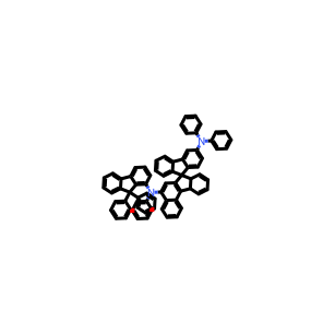 C1=CC2c3c(cc(N(c4ccccc4)c4cccc5c4C(c4ccccc4)(c4ccccc4)c4ccccc4-5)c4ccccc34)C3(c4ccccc4-c4cc(N(c5ccccc5)c5ccccc5)ccc43)C2C=C1